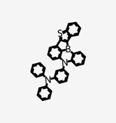 c1ccc(N(c2ccccc2)c2cccc(N3c4ccccc4B4c5c(cccc53)-c3sc5ccccc5c34)c2)cc1